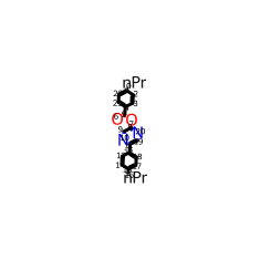 CCCc1ccc(C(=O)Oc2cnc(-c3ccc(CCC)cc3)cn2)cc1